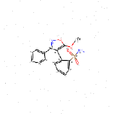 CCCOc1onc(-c2ccccc2)c1-c1ccccc1S(N)(=O)=O